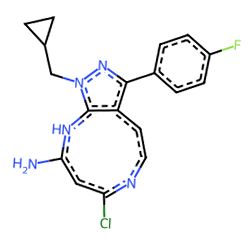 Nc1cc(Cl)nccc2c(-c3ccc(F)cc3)nn(CC3CC3)c2[nH]1